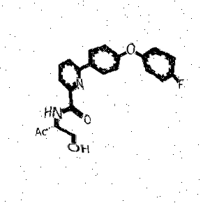 CC(=O)[C@@H](CO)NC(=O)c1cccc(-c2ccc(Oc3ccc(F)cc3)cc2)n1